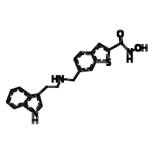 O=C(NO)c1cc2ccc(CNCCc3c[nH]c4ccccc34)cc2s1